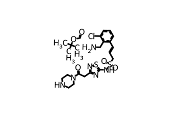 CC(C)(C)OC=O.NCc1c(Cl)cccc1C=CCS(=O)(=O)Nc1nc(CC(=O)N2CCNCC2)ns1